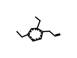 C=CCc1ccc(CC)cc1CC